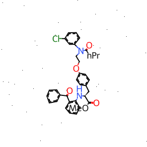 CCCC(=O)N(CCOc1ccc(C[C@H](Nc2ccccc2C(=O)c2ccccc2)C(=O)OC)cc1)c1cccc(Cl)c1